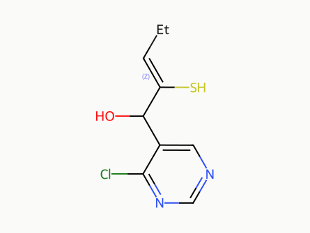 CC/C=C(\S)C(O)c1cncnc1Cl